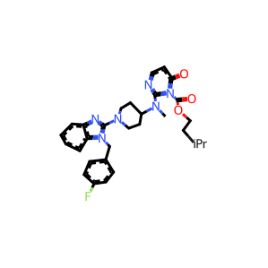 CC(C)CCOC(=O)n1c(N(C)C2CCN(c3nc4ccccc4n3Cc3ccc(F)cc3)CC2)nccc1=O